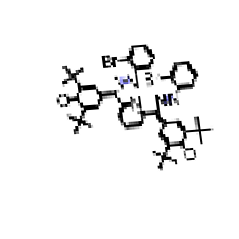 CC(C)(C)C1=CC(=C(/N=N/c2ccccc2Br)c2cccc(C(/N=N/c3ccccc3Br)=C3C=C(C(C)(C)C)C(=O)C(C(C)(C)C)=C3)n2)C=C(C(C)(C)C)C1=O